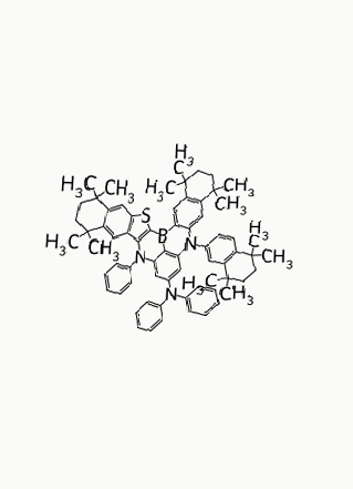 CC1(C)CCC(C)(C)c2cc(N3c4cc5c(cc4B4c6sc7cc8c(cc7c6N(c6ccccc6)c6cc(N(c7ccccc7)c7ccccc7)cc3c64)C(C)(C)CCC8(C)C)C(C)(C)CCC5(C)C)ccc21